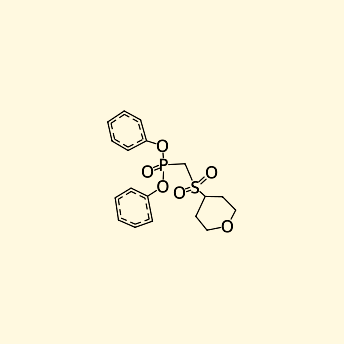 O=P(CS(=O)(=O)C1CCOCC1)(Oc1ccccc1)Oc1ccccc1